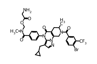 CC1Cc2c(n3ncc(CC4CC4)c3n(-c3ccc(C(=O)N(C)COC(=O)CN)cc3)c2=O)CN1C(=O)c1ccc(Br)c(C(F)(F)F)c1